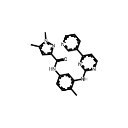 Cc1ccc(NC(=O)c2cc(C)n(C)n2)cc1Nc1nccc(-c2cccnc2)n1